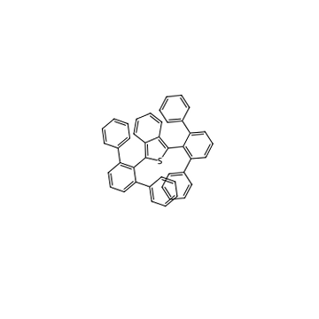 c1ccc(-c2cccc(-c3ccccc3)c2-c2sc(-c3c(-c4ccccc4)cccc3-c3ccccc3)c3ccccc23)cc1